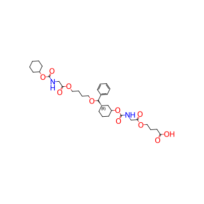 O=C(O)CCCOC(=O)CNC(=O)OC1CCC[C@@H](C(OCCCCOC(=O)CNC(=O)OC2CCCCC2)c2ccccc2)C1